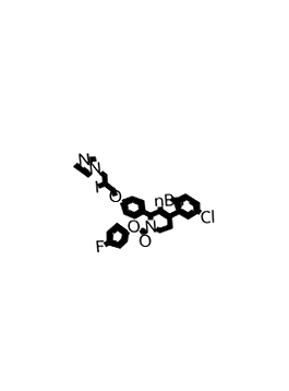 CCCCC1=C(c2cc(Cl)ccc2C)CCN(C(=O)Oc2ccc(F)cc2)C1c1ccc(OCC(I)Cn2ccnc2)cc1